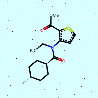 COC(=O)c1sccc1N(CC(F)(F)F)C(=O)[C@H]1CC[C@H](C)CC1